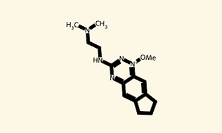 CO[n+]1nc(NCCN(C)C)nc2cc3c(cc21)CCC3